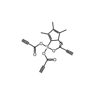 C#CC(=O)[O][Ti]([O]C(=O)C#C)([O]C(=O)C#C)[C]1=C(C)C(C)=C(C)C1C